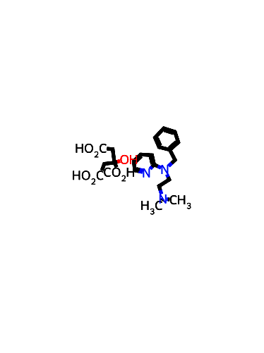 CN(C)CCN(Cc1ccccc1)c1ccccn1.O=C(O)CC(O)(CC(=O)O)C(=O)O